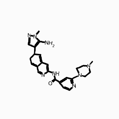 CN1CCN(c2cc(C(=O)Nc3cc4c(cn3)=CCC(c3cnn(C)c3N)C=4)ccn2)CC1